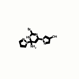 NC1(n2cccn2)C=C(n2cc(O)cn2)N=C(Br)N1